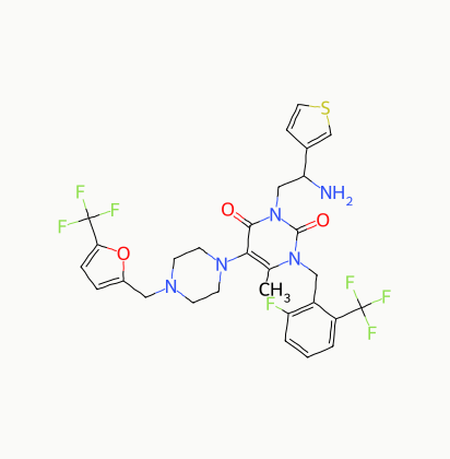 Cc1c(N2CCN(Cc3ccc(C(F)(F)F)o3)CC2)c(=O)n(CC(N)c2ccsc2)c(=O)n1Cc1c(F)cccc1C(F)(F)F